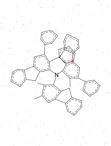 Cc1cc2c(c(N(c3c(C)c(-c4ccccc4)cc4c3Cc3ccccc3-4)c3c4c(cc(-c5ccccc5)c3-c3ccccc3)-c3ccccc3C4)c1C)Cc1ccccc1-2